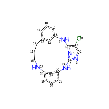 Clc1cnc2nc1Nc1cccc(c1)CCCNc1cccc(c1)N2